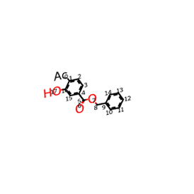 CC(=O)c1ccc(C(=O)OCc2ccccc2)cc1O